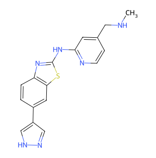 CNCc1ccnc(Nc2nc3ccc(-c4cn[nH]c4)cc3s2)c1